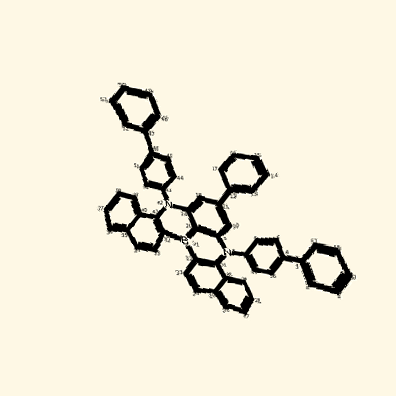 c1ccc(-c2ccc(N3c4cc(-c5ccccc5)cc5c4B(c4ccc6ccccc6c43)c3ccc4ccccc4c3N5c3ccc(-c4ccccc4)cc3)cc2)cc1